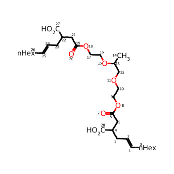 CCCCCC/C=C/CC(CC(=O)OCCOCC(C)OCCOC(=O)CC(C/C=C/CCCCCC)C(=O)O)C(=O)O